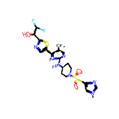 Cn1cnc(S(=O)(=O)N2CCC(Nc3ncc(C(F)(F)F)c(-c4cnc(C(O)C(F)F)s4)n3)CC2)c1